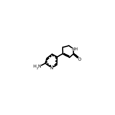 Nc1ccc(C2=CC(=O)NCC2)cn1